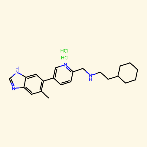 Cc1cc2nc[nH]c2cc1-c1ccc(CNCCC2CCCCC2)nc1.Cl.Cl